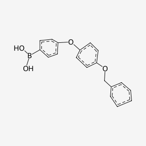 OB(O)c1ccc(Oc2ccc(OCc3ccccc3)cc2)cc1